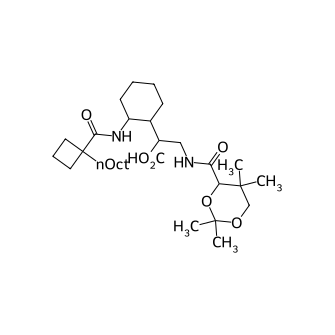 CCCCCCCCC1(C(=O)NC2CCCCC2C(CNC(=O)C2OC(C)(C)OCC2(C)C)C(=O)O)CCC1